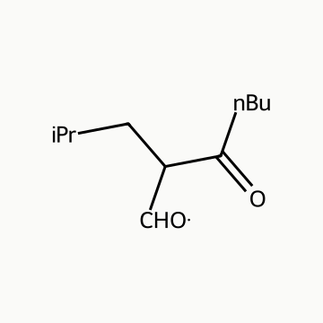 CCCCC(=O)C([C]=O)CC(C)C